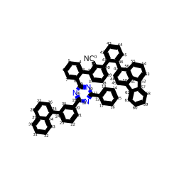 N#Cc1c(-c2ccccc2-c2nc(-c3ccccc3)nc(-c3cccc(-c4cccc5ccccc45)c3)n2)cccc1-c1ccccc1-c1ccc2c3c(cccc13)-c1ccccc1-2